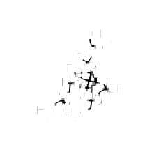 C=CC(=O)OCC(F)(OC(F)C(C(F)(F)OC(F)(COC(=O)C=C)C(F)(F)F)(C(F)(F)OC(F)(COC(=O)C=C)C(F)(F)F)C(F)(F)C(F)(F)F)C(F)(F)F